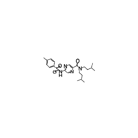 Cc1ccc(S(=O)(=O)Nc2cnc(C(=O)N(CCC(C)C)CCC(C)C)cn2)cc1